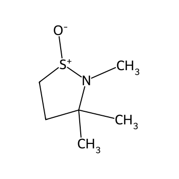 CN1[S+]([O-])CCC1(C)C